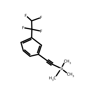 C[Si](C)(C)C#Cc1cccc(C(F)(F)C(F)F)c1